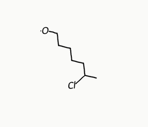 CC(Cl)CCCCC[O]